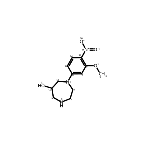 COc1cc(N2CCNCC(O)C2)ccc1[N+](=O)[O-]